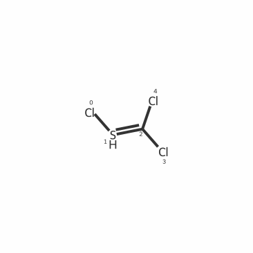 Cl[SH]=C(Cl)Cl